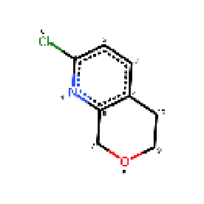 Clc1ccc2c(n1)COCC2